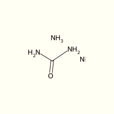 N.NC(N)=O.[N]